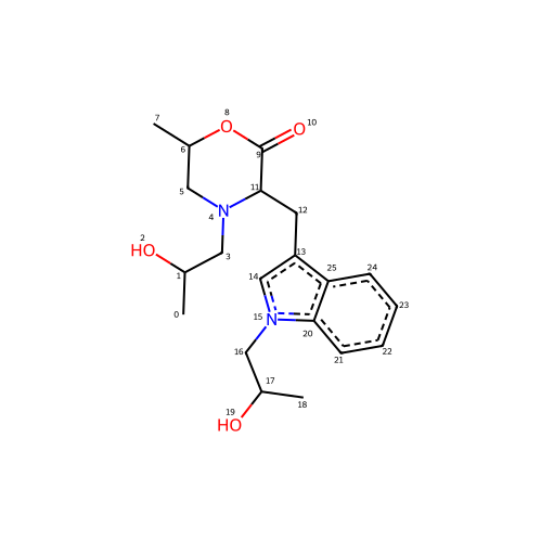 CC(O)CN1CC(C)OC(=O)C1Cc1cn(CC(C)O)c2ccccc12